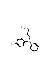 CCCCB(c1ccccc1)c1ccc(F)cc1